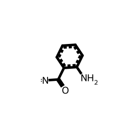 [N]C(=O)c1ccccc1N